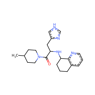 CC1CCN(C(=O)C(Cc2c[nH]cn2)NC2CCCc3cccnc32)CC1